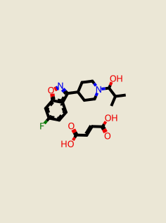 CC(C)C(O)N1CCC(c2noc3cc(F)ccc23)CC1.O=C(O)C=CC(=O)O